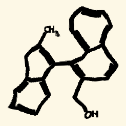 CC1=C(c2c(CO)ccc3ccccc23)c2ccccc2C1